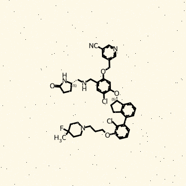 CC1(F)CCN(CCCOc2cccc(-c3cccc4c3CC[C@@H]4Oc3cc(OCc4cncc(C#N)c4)c(CNC[C@@H]4CCC(=O)N4)cc3Cl)c2Cl)CC1